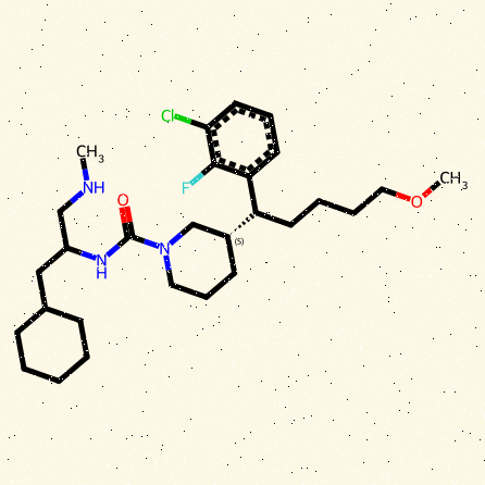 CNCC(CC1CCCCC1)NC(=O)N1CCC[C@@H](C(CCCCOC)c2cccc(Cl)c2F)C1